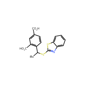 CCC(C)C(Sc1nc2ccccc2s1)c1ccc(C(=O)O)cc1C(=O)O